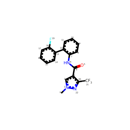 Cn1cc(C(=O)Nc2ccccc2-c2ccccc2F)c(C(F)(F)F)n1